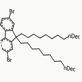 CCCCCCCCCCCCCCCCCCC1(CCCCCCCCCCCCCCCCCC)c2cc(Br)ccc2-c2ccc(Br)cc21